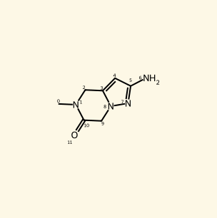 CN1Cc2cc(N)nn2CC1=O